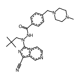 CN1CCN(Cc2ccc(C(=O)NN(CC(C)(C)C)c3nc(C#N)c4cnccn34)cc2)CC1